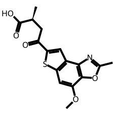 COc1cc2sc(C(=O)C[C@H](C)C(=O)O)cc2c2nc(C)oc12